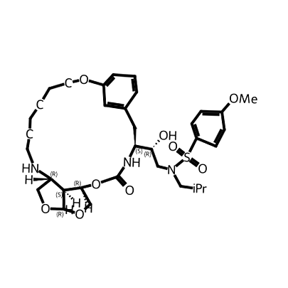 COc1ccc(S(=O)(=O)N(CC(C)C)C[C@@H](O)[C@@H]2Cc3cccc(c3)OCCCCCCN[C@H]3CO[C@@H]4OC[C@H](OC(=O)N2)[C@@H]43)cc1